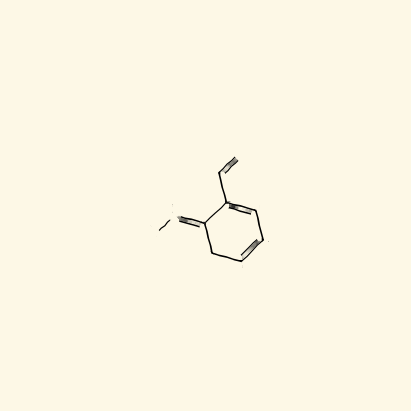 O=CC1=CC=CCC1=NO